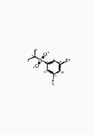 CC(C)S(=O)(=O)c1cc(F)cc(F)c1